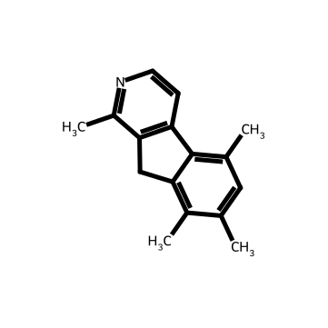 Cc1cc(C)c2c(c1C)Cc1c-2ccnc1C